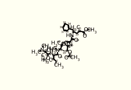 CC[C@H](C)[C@H](NC(=O)C(C)(C)N(C)C)C(=O)N(C)[C@H](C[C@@H](OC(C)=O)c1nc(C(=O)N[C@@H](Cc2ccccc2)C[C@H](C)C(=O)OC)cs1)C(C)C